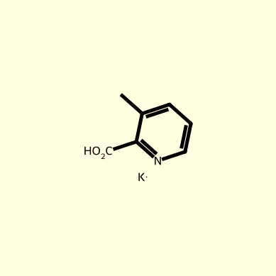 Cc1cccnc1C(=O)O.[K]